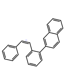 C(=C/c1ccccc1-c1ccc2ccccc2c1)/c1ccccc1